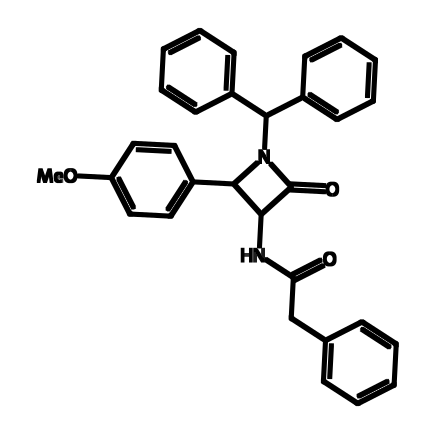 COc1ccc(C2C(NC(=O)Cc3ccccc3)C(=O)N2C(c2ccccc2)c2ccccc2)cc1